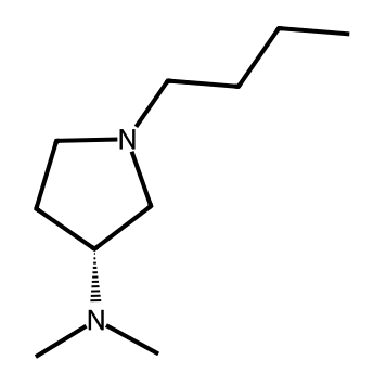 CCCCN1CC[C@@H](N(C)C)C1